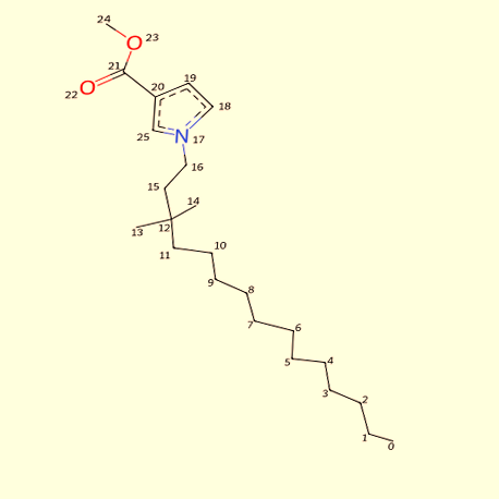 CCCCCCCCCCCCC(C)(C)CCn1ccc(C(=O)OC)c1